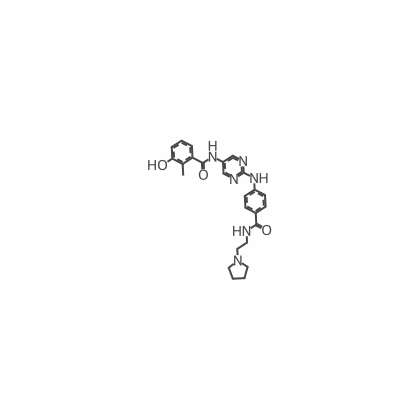 Cc1c(O)cccc1C(=O)Nc1cnc(Nc2ccc(C(=O)NCCN3CCCC3)cc2)nc1